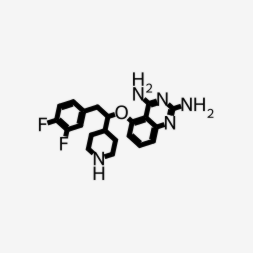 Nc1nc(N)c2c(OC(Cc3ccc(F)c(F)c3)C3CCNCC3)cccc2n1